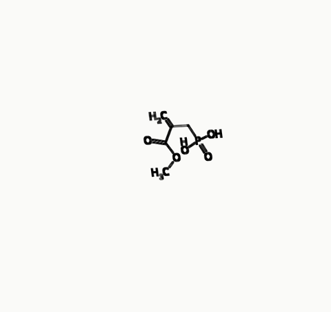 C=C(CP(=O)(O)O)C(=O)OC